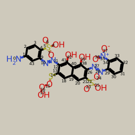 Nc1ccc(S(=O)(=O)O)c(/N=N/c2c(SOOO)cc3cc(S(=O)(=O)O)c(/N=N/c4ccccc4[N+](=O)[O-])c(O)c3c2O)c1